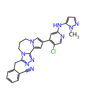 Cn1nccc1Nc1cc(-c2cc3n(c2)CCCn2c(Cc4ccccc4C#N)nnc2-3)c(Cl)cn1